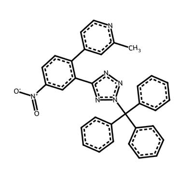 Cc1cc(-c2ccc([N+](=O)[O-])cc2-c2nnn(C(c3ccccc3)(c3ccccc3)c3ccccc3)n2)ccn1